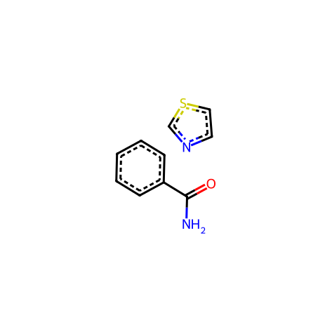 NC(=O)c1ccccc1.c1cscn1